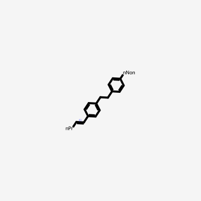 CCC/C=C/c1ccc(CCc2ccc(CCCCCCCCC)cc2)cc1